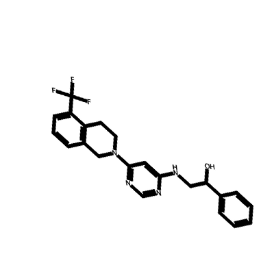 OC(CNc1cc(N2CCc3c(cccc3C(F)(F)F)C2)ncn1)c1ccccc1